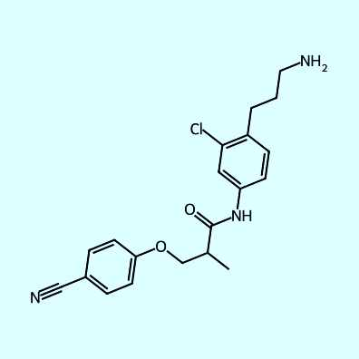 CC(COc1ccc(C#N)cc1)C(=O)Nc1ccc(CCCN)c(Cl)c1